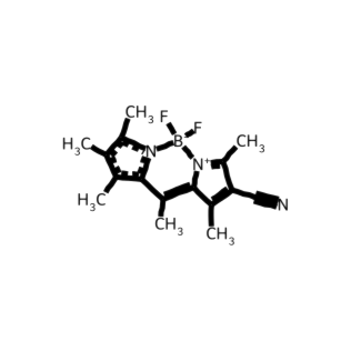 CC1=C(C#N)C(C)=[N+]2C1=C(C)c1c(C)c(C)c(C)n1[B-]2(F)F